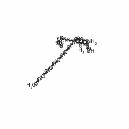 COCCOCCOCCOCCOCCOCCOCCOCCOCCOCCCN(CCCCCC(=O)ON1C(=O)CCC1=O)C(=O)Cc1c(C)c2cc(SOOO)c(N)cc2oc1=O